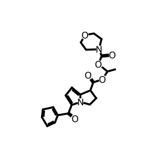 CC(OC(=O)C1CCn2c(C(=O)c3ccccc3)ccc21)OC(=O)N1CCOCC1